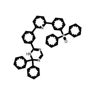 O=P(c1ccccc1)(c1ccccc1)c1cccc(-c2cccc(-c3cccc(C4=NC=NC(c5ccccc5)(c5ccccc5)N4)c3)n2)c1